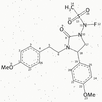 COc1ccc(CCN2C(=O)N(N(F)S(C)(=O)=O)CC2c2ccc(OC)cc2)cc1